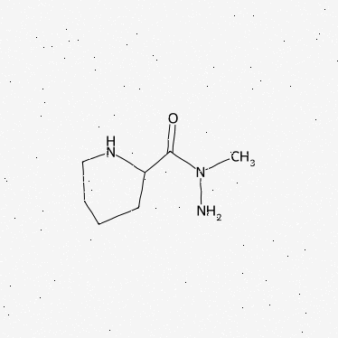 CN(N)C(=O)C1CCCCN1